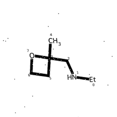 CCNCC1(C)CCO1